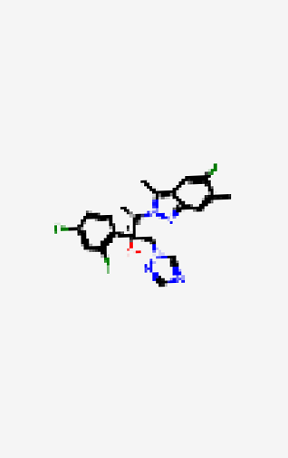 Cc1cc2nn([C@H](C)[C@](O)(Cn3cncn3)c3ccc(F)cc3F)c(C)c2cc1F